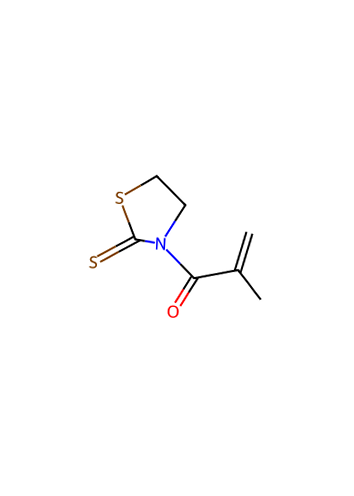 C=C(C)C(=O)N1CCSC1=S